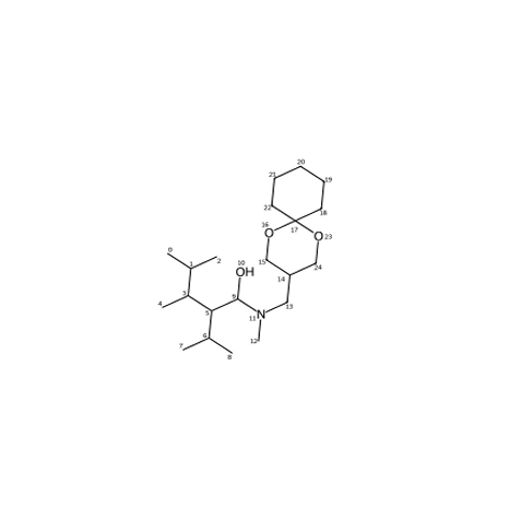 CC(C)C(C)C(C(C)C)C(O)N(C)CC1COC2(CCCCC2)OC1